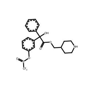 O=C(OCC1CCNCC1)C(O)(c1ccccc1)c1cccc(OS(=O)C(F)(F)F)c1